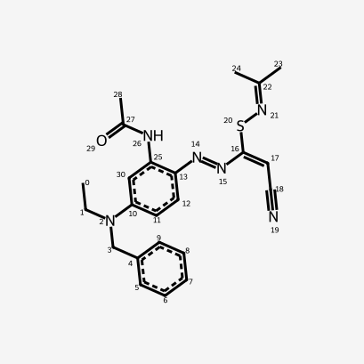 CCN(Cc1ccccc1)c1ccc(N=N/C(=C\C#N)SN=C(C)C)c(NC(C)=O)c1